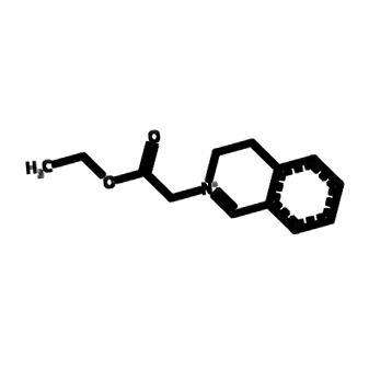 CCOC(=O)C[N+]1=Cc2ccccc2CC1